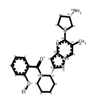 CCOc1ccccc1C(=O)N1CCCC[C@H]1c1cc2nc(N3CC[C@H](N)C3)c(C)cn2n1